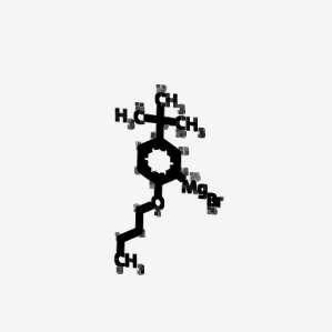 CCCCOc1ccc(C(C)(C)C)c[c]1[Mg][Br]